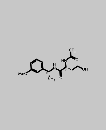 COc1cccc([C@@H](C)NC(=O)[C@@H](CCO)NC(=O)C(F)(F)F)c1